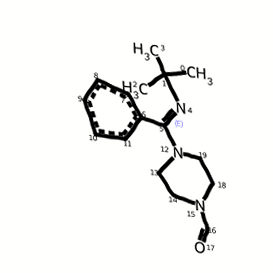 CC(C)(C)/N=C(\c1ccccc1)N1CCN(C=O)CC1